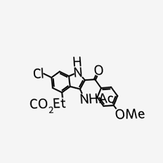 CCOC(=O)c1cc(Cl)cc2[nH]c(C(=O)c3ccc(OC)cc3)c(NC(C)=O)c12